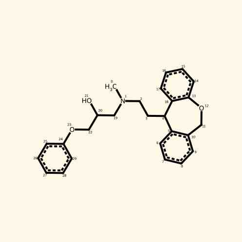 CN(CCC1c2ccccc2COc2ccccc21)CC(O)COc1ccccc1